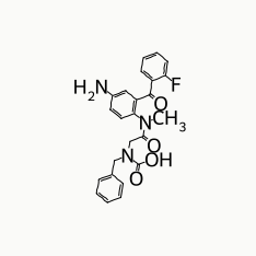 CN(C(=O)CN(Cc1ccccc1)C(=O)O)c1ccc(N)cc1C(=O)c1ccccc1F